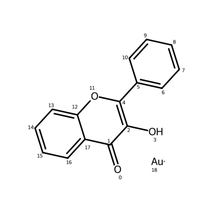 O=c1c(O)c(-c2ccccc2)oc2ccccc12.[Au]